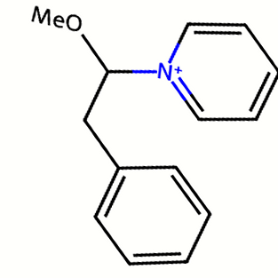 COC(Cc1ccccc1)[n+]1ccccc1